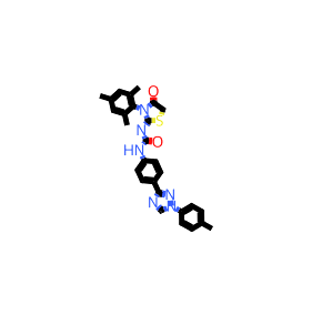 Cc1ccc(-n2cnc(-c3ccc(NC(=O)/N=C4\SCC(=O)N4c4c(C)cc(C)cc4C)cc3)n2)cc1